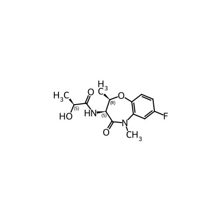 C[C@H](O)C(=O)N[C@@H]1C(=O)N(C)c2cc(F)ccc2O[C@@H]1C